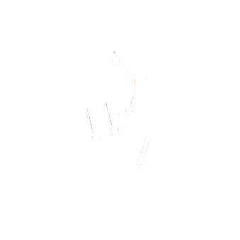 CCC.CCC.O=POP=O